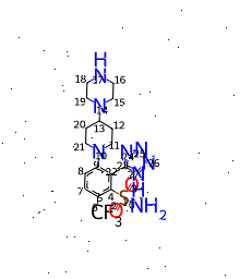 NS(=O)(=O)c1c(C(F)(F)F)ccc(N2CCC(N3CCNCC3)CC2)c1-c1nnn[nH]1